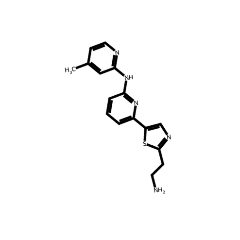 Cc1ccnc(Nc2cccc(-c3cnc(CCN)s3)n2)c1